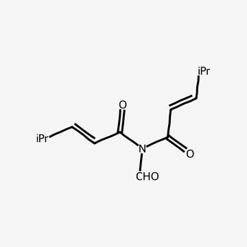 CC(C)C=CC(=O)N(C=O)C(=O)C=CC(C)C